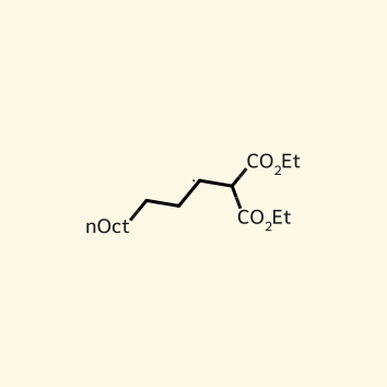 [CH2]CCCCCCCCC[CH]C(C(=O)OCC)C(=O)OCC